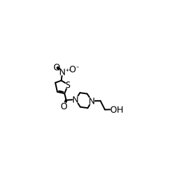 O=C(C1=CCC([N+](=O)[O-])S1)N1CCN(CCO)CC1